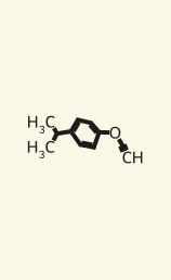 C#COc1ccc(C(C)C)cc1